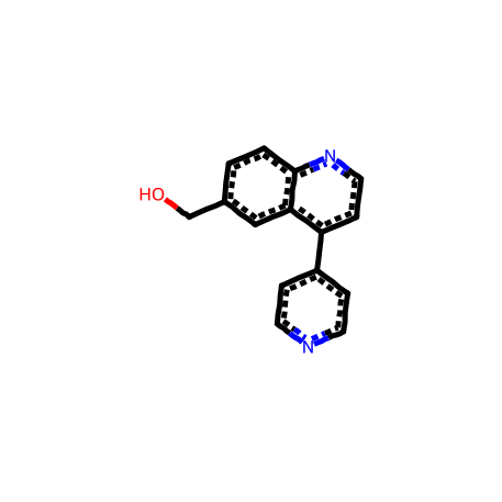 OCc1ccc2nccc(-c3ccncc3)c2c1